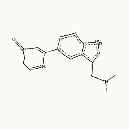 CN(C)Cc1c[nH]c2ccc(C3=CC(=O)CC=N3)cc12